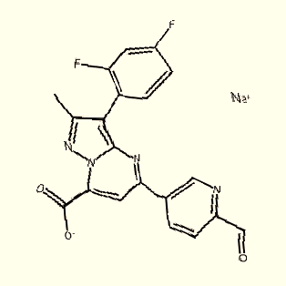 Cc1nn2c(C(=O)[O-])cc(-c3ccc(C=O)nc3)nc2c1-c1ccc(F)cc1F.[Na+]